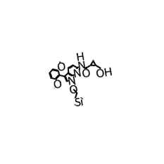 COc1cccc(OC)c1-c1cn(COCC[Si](C)(C)C)c2nc(NC(=O)C3CC3CO)ccc12